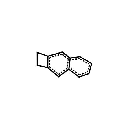 [c]1c2c(cc3ccccc13)CC2